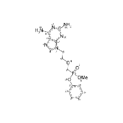 COP(=O)(COCCn1cnc2c(N)nc(N)nc21)Oc1ccccc1